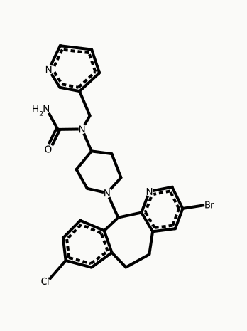 NC(=O)N(Cc1cccnc1)C1CCN(C2c3ccc(Cl)cc3CCc3cc(Br)cnc32)CC1